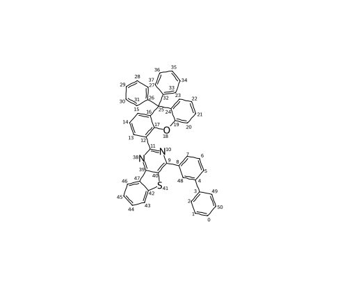 c1ccc(-c2cccc(-c3nc(-c4cccc5c4Oc4ccccc4C5(c4ccccc4)c4ccccc4)nc4c3sc3ccccc34)c2)cc1